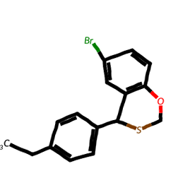 CCc1ccc(C2SCOc3ccc(Br)cc32)cc1